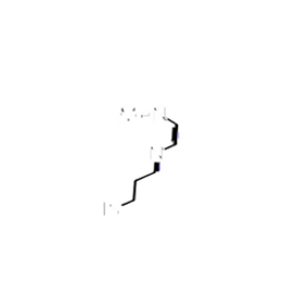 CN/C=C\N=C\CCS